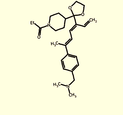 C=C/C(=C\C=C(/C)c1ccc(CN(C)C)cc1)C1(C2CCN(C(=O)CC)CC2)OCCO1